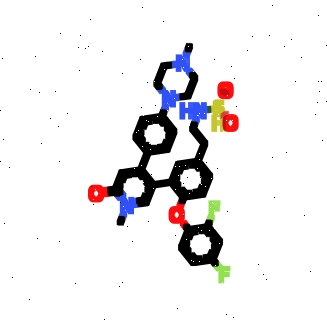 CN1CCN(c2ccc(-c3cc(=O)n(C)cc3-c3cc(CCN[SH](=O)=O)ccc3Oc3ccc(F)cc3F)cc2)CC1